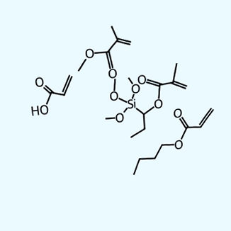 C=C(C)C(=O)OC.C=C(C)C(=O)OC(CC)[Si](OC)(OC)OC.C=CC(=O)O.C=CC(=O)OCCCC